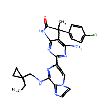 CCC1(CNc2nc(-c3nc(N)c4c(n3)NC(=O)C4(C)c3ccc(Cl)cc3)cn3ccnc23)CC1